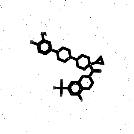 Cc1cc(C2CCN(C3CCC(C(=O)N4CCc5c(F)cc(C(F)(F)F)cc5C4)(C4CC4)OC3)CC2)ccc1F